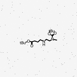 CN(CCNCCCC(=O)OC(C)(C)C)C(=O)OC(C)(C)C